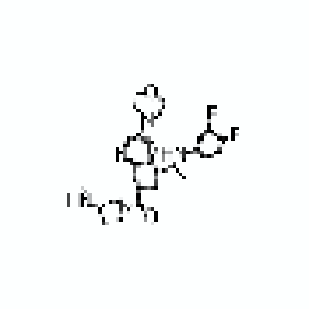 CN[C@@H]1CCN(C(=O)c2cc(C(C)Nc3ccc(F)c(F)c3)c3nc(N4CCOCC4)cnc3c2)C1